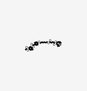 CC(=O)Oc1ccc(OC(=O)c2ccc(OCCCCCCOC(=O)CCC(=O)OC3CC(C)(C)N(C)C(C)(C)C3)cc2)c(C)c1